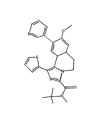 COC1=CC2CCn3c(C(=O)N(C)C(C)(C)C)nc(-c4cccs4)c3C2C=C1c1cccnc1